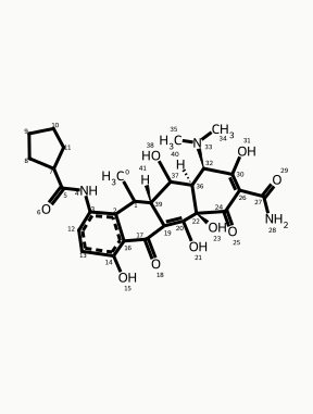 CC1c2c(NC(=O)C3CCCC3)ccc(O)c2C(=O)C2=C(O)[C@@]3(O)C(=O)C(C(N)=O)=C(O)[C@H](N(C)C)[C@@H]3C(O)[C@H]21